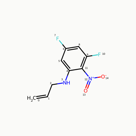 C=CCNc1cc(F)cc(F)c1[N+](=O)[O-]